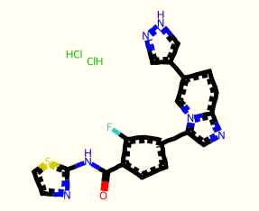 Cl.Cl.O=C(Nc1nccs1)c1ccc(-c2cnc3ccc(-c4cn[nH]c4)cn23)cc1F